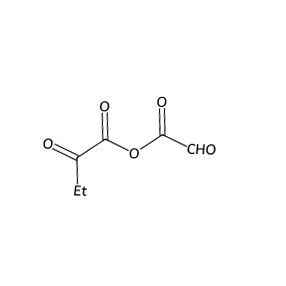 CCC(=O)C(=O)OC(=O)C=O